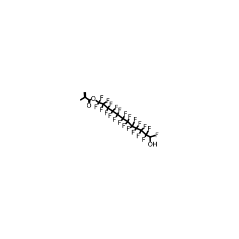 C=C(C)C(=O)OC(F)(F)C(F)(F)C(F)(F)C(F)(F)C(F)(F)C(F)(F)C(F)(F)C(F)(F)C(F)(F)C(F)(F)C(F)(F)C(O)F